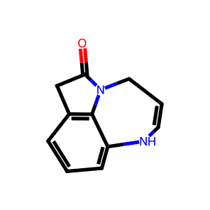 O=C1Cc2cccc3c2N1CC=CN3